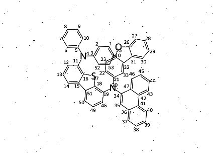 c1ccc(N(c2ccccc2)c2cccc3c2sc2c(N(c4ccc5oc6ccccc6c5c4)c4cc5ccccc5c5ccccc45)cccc23)cc1